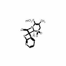 CC1=C(C(=O)O)N2C(=O)C3(Sc4ncccc43)[C@@H]2S(=O)(=O)C1